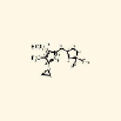 CCOC(=O)c1c(C(F)(F)F)c(C2CC2)nn1CC1CCC(F)(F)C1